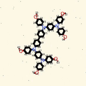 COc1ccc(N(c2ccc(OC)cc2)c2ccc(N(c3ccc(OC)cc3)c3ccc(-c4ccc(N(c5ccc(OC)cc5)c5ccc(N(c6ccc(OC)cc6)c6ccc(OC)cc6)cc5)cc4)cc3)cc2)cc1